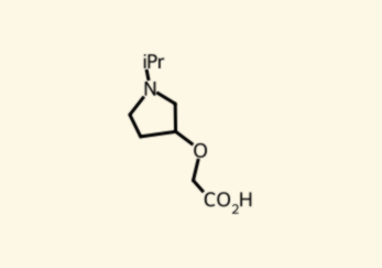 CC(C)N1CCC(OCC(=O)O)C1